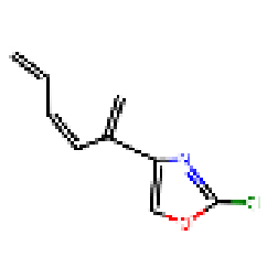 C=C/C=C\C(=C)c1coc(Cl)n1